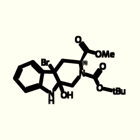 COC(=O)[C@@H]1CC2(Br)c3ccccc3NC2(O)CN1C(=O)OC(C)(C)C